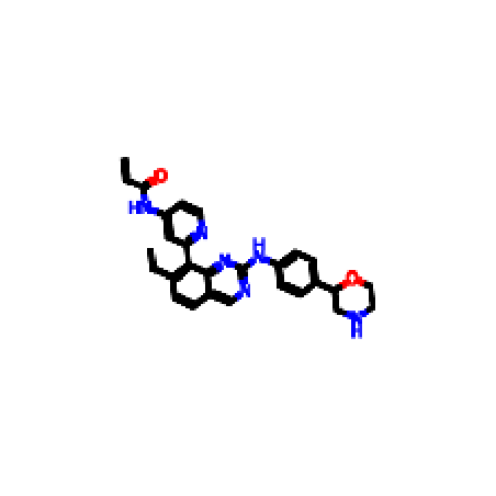 C=CC(=O)Nc1ccnc(-c2c(CC)ccc3cnc(Nc4ccc(C5CNCCO5)cc4)nc23)c1